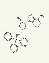 Nc1ncnc2c1ncn2[C@@H]1O[C@H](COC(c2ccccc2)(c2ccccc2)c2ccccc2)C[C@H]1O